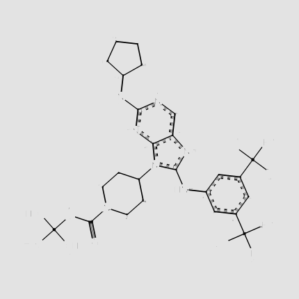 CC(C)(C)OC(=O)N1CCC(n2c(Nc3cc(C(F)(F)F)cc(C(F)(F)F)c3)nc3cnc(NC4CCCC4)nc32)CC1